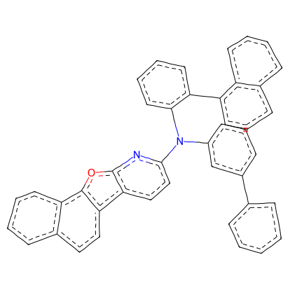 c1ccc(-c2cccc(N(c3ccc4c(n3)oc3c5ccccc5ccc43)c3ccccc3-c3cccc4ccccc34)c2)cc1